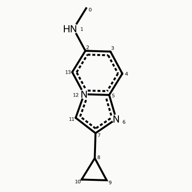 CNc1ccc2nc(C3CC3)cn2c1